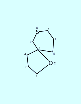 C1COC2(C1)CCCSC2